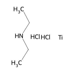 CCNCC.Cl.Cl.[Ti]